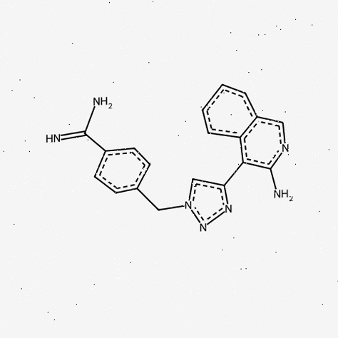 N=C(N)c1ccc(Cn2cc(-c3c(N)ncc4ccccc34)nn2)cc1